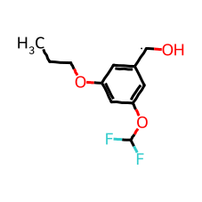 CCCOc1cc([CH]O)cc(OC(F)F)c1